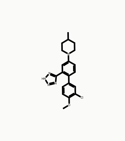 COc1ccc(-c2ccc(N3CCC(C)CC3)cc2-c2nn[nH]n2)cc1Cl